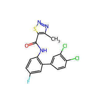 Cc1nnsc1C(=O)Nc1ccc(F)cc1-c1ccc(Cl)c(Cl)c1